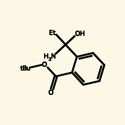 CCC(N)(O)c1ccccc1C(=O)OC(C)(C)C